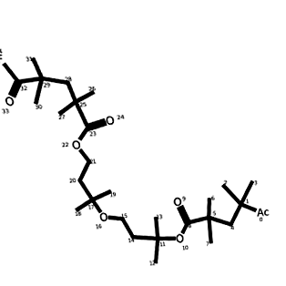 CC(=O)C(C)(C)CC(C)(C)C(=O)OC(C)(C)CCOC(C)(C)CCOC(=O)C(C)(C)CC(C)(C)C(=O)F